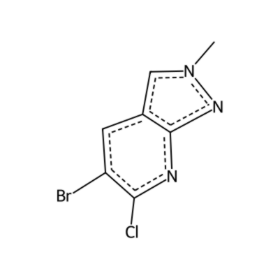 Cn1cc2cc(Br)c(Cl)nc2n1